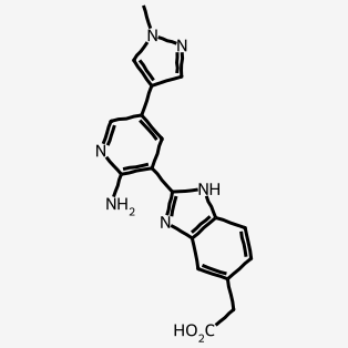 Cn1cc(-c2cnc(N)c(-c3nc4cc(CC(=O)O)ccc4[nH]3)c2)cn1